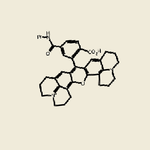 CC(C)NC(=O)c1ccc(C(=O)O)c(C2=c3cc4c5c(c3Oc3c2cc2c6c3CCCN6CCC2)CCC[N+]=5CCC4)c1